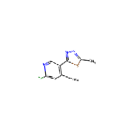 CNc1cc(Cl)ncc1-c1nnc(C)s1